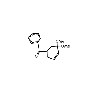 COC1(OC)C=CC=C(C(=O)c2ccccc2)C1